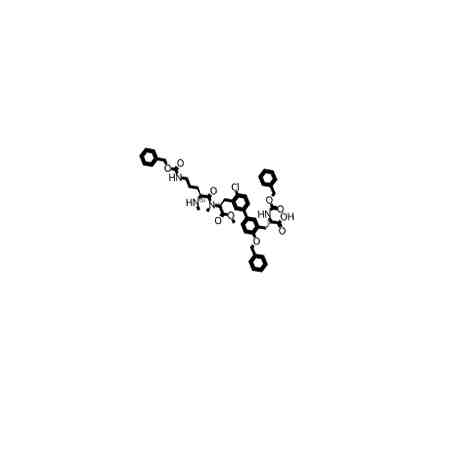 CN[C@@H](CCCNC(=O)OCc1ccccc1)C(=O)N(C)[C@@H](Cc1cc(-c2ccc(OCc3ccccc3)c(C[C@H](NC(=O)OCc3ccccc3)C(=O)O)c2)ccc1Cl)C(=O)OC